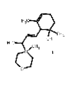 CC1=CCCC(C)(C)C1C=CC(C)[N+]1(C)CCOCC1.[I-]